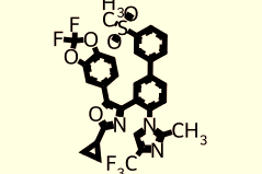 Cc1nc(C(F)(F)F)cn1-c1ccc(-c2cccc(S(C)(=O)=O)c2)cc1-c1nc(C2CC2)oc1-c1ccc2c(c1)OC(F)(F)O2